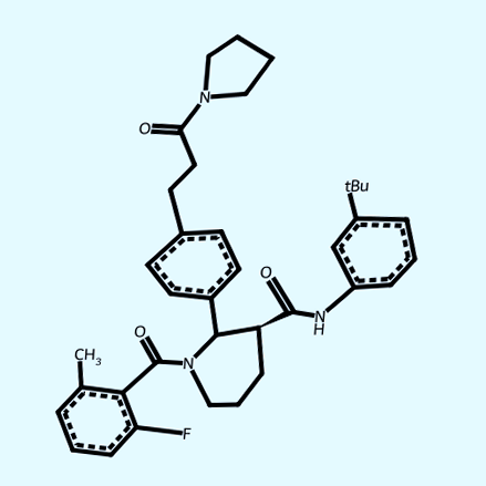 Cc1cccc(F)c1C(=O)N1CCC[C@H](C(=O)Nc2cccc(C(C)(C)C)c2)C1c1ccc(CCC(=O)N2CCCC2)cc1